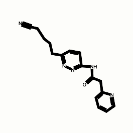 N#CCCCCc1ccc(NC(=O)Cc2ccccn2)nn1